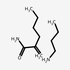 C=C(CCCC)C(N)=O.CCCCN